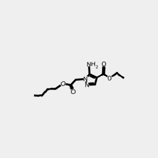 CCCCOC(=O)Cn1ncc(C(=O)OCC)c1N